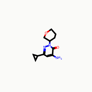 Nc1cc(C2CC2)nn(C2CCCOC2)c1=O